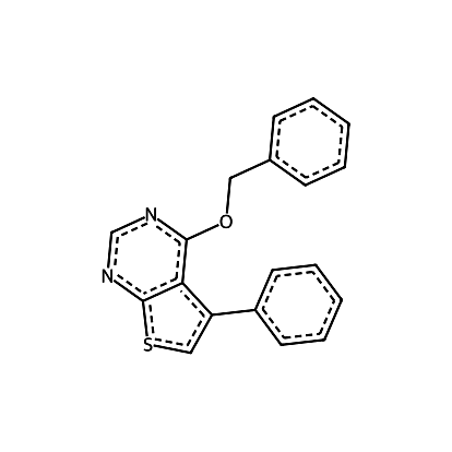 c1ccc(COc2ncnc3scc(-c4ccccc4)c23)cc1